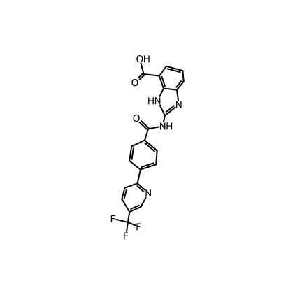 O=C(Nc1nc2cccc(C(=O)O)c2[nH]1)c1ccc(-c2ccc(C(F)(F)F)cn2)cc1